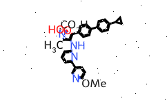 COc1ccc(-c2cccc(Nc3c(C)noc3-c3ccc(-c4ccc(C5CC5)cc4)cc3)n2)cn1.O=C(O)O